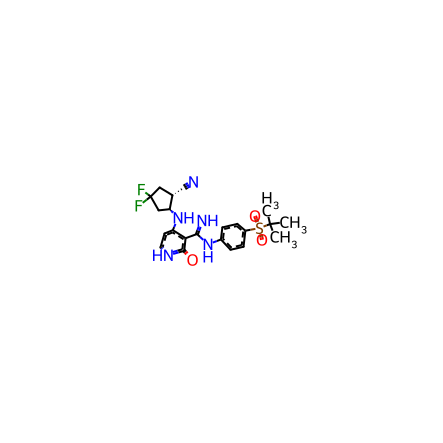 CC(C)(C)S(=O)(=O)c1ccc(NC(=N)c2c(N[C@H]3CC(F)(F)C[C@@H]3C#N)cc[nH]c2=O)cc1